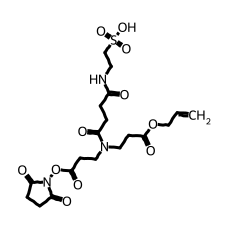 C=CCOC(=O)CCN(CCC(=O)ON1C(=O)CCC1=O)C(=O)CCC(=O)NCCS(=O)(=O)O